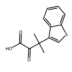 CC(C)(C(=O)C(=O)O)c1csc2ccccc12